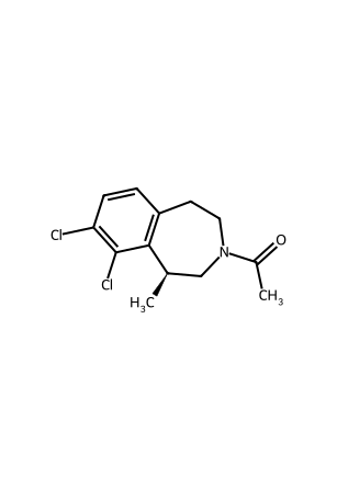 CC(=O)N1CCc2ccc(Cl)c(Cl)c2[C@H](C)C1